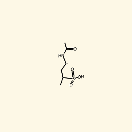 CC(=O)N[CH]CC(C)S(=O)(=O)O